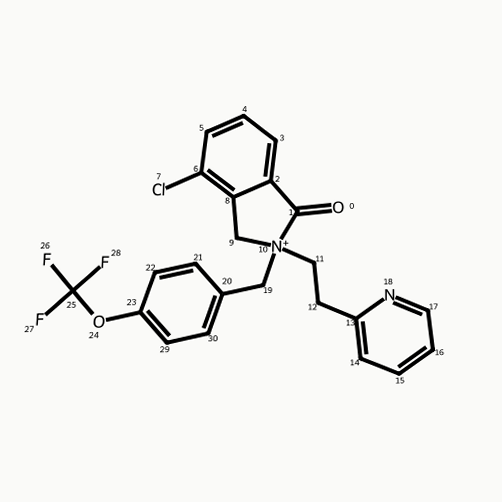 O=C1c2cccc(Cl)c2C[N+]1(CCc1ccccn1)Cc1ccc(OC(F)(F)F)cc1